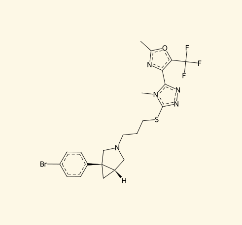 Cc1nc(-c2nnc(SCCCN3C[C@@H]4C[C@]4(c4ccc(Br)cc4)C3)n2C)c(C(F)(F)F)o1